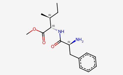 CC[C@H](C)[C@H](NC(=O)[C@@H](N)Cc1ccccc1)C(=O)OC